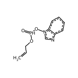 C=CCO[PH](=O)On1cnc2ccccc21